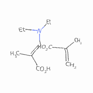 C=C(C)C(=O)O.CCN(C=C(C)C(=O)O)CC